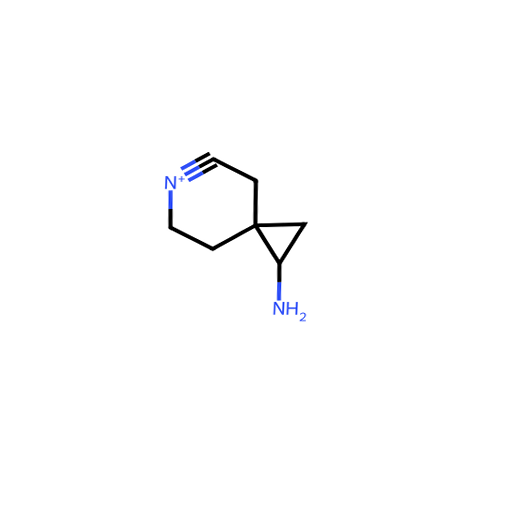 NC1CC12CC#[N+]CC2